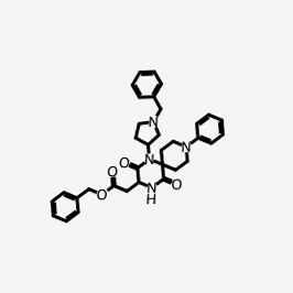 O=C(CC1NC(=O)C2(CCN(c3ccccc3)CC2)N(C2CCN(Cc3ccccc3)C2)C1=O)OCc1ccccc1